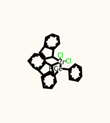 [Cl][Zr]([Cl])([CH]1C=Cc2ccccc21)([CH]1C=Cc2ccccc21)[GeH]([c]1ccccc1)[c]1ccccc1